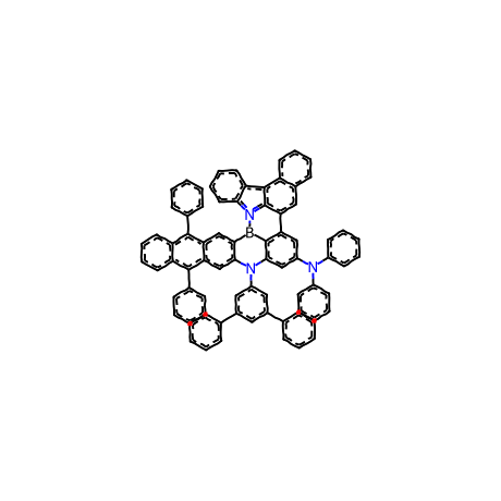 c1ccc(-c2cc(-c3ccccc3)cc(N3c4cc5c(-c6ccccc6)c6ccccc6c(-c6ccccc6)c5cc4B4c5c(cc(N(c6ccccc6)c6ccccc6)cc53)-c3cc5ccccc5c5c6ccccc6n4c35)c2)cc1